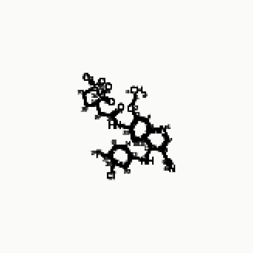 CCOc1cc2ncc(C#N)c(Nc3ccc(F)c(Cl)c3)c2cc1NC(=O)CC1CCS(=O)(=O)S1(=O)=O